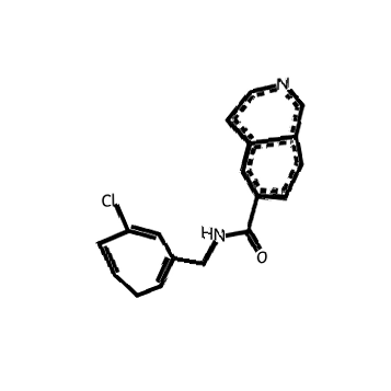 O=C(NCC1=CCC=CC(Cl)=C1)c1ccc2cnccc2c1